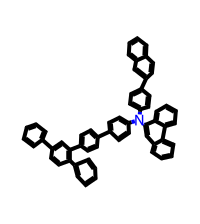 c1ccc(-c2ccc(-c3ccccc3)c(-c3ccc(-c4ccc(N(c5ccc(-c6ccc7ccccc7c6)cc5)c5cc6ccccc6c6ccccc56)cc4)cc3)c2)cc1